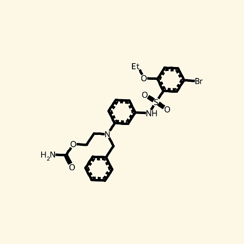 CCOc1ccc(Br)cc1S(=O)(=O)Nc1cccc(N(CCOC(N)=O)Cc2ccccc2)c1